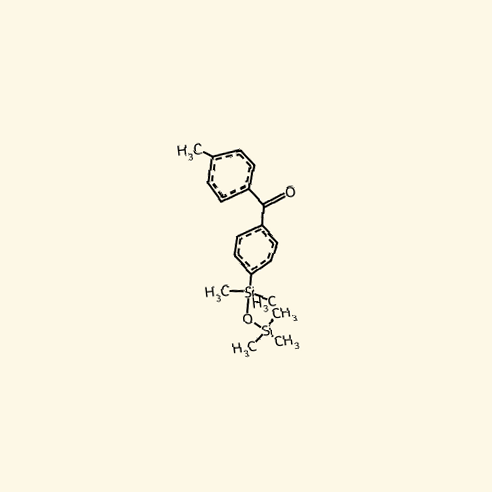 Cc1ccc(C(=O)c2ccc([Si](C)(C)O[Si](C)(C)C)cc2)cc1